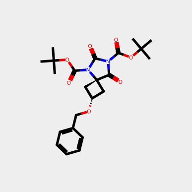 CC(C)(C)OC(=O)N1C(=O)N(C(=O)OC(C)(C)C)[C@]2(C[C@@H](OCc3ccccc3)C2)C1=O